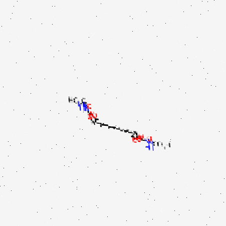 CC1=C(/C=C/C(C)=C/C=C/C(C)=C/C=C/C=C(C)/C=C/C=C(C)/C=C/C2=C(C)C(=O)C(OC(=O)CCNC(=O)NCC(=O)O)CC2(C)C)C(C)(C)CC(OC(=O)CCNC(=O)NCC(=O)O)C1=O